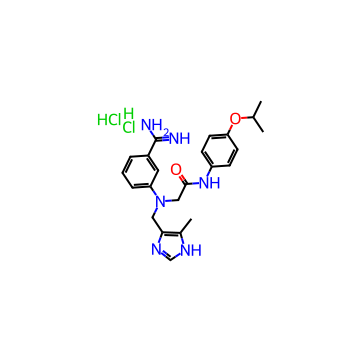 Cc1[nH]cnc1CN(CC(=O)Nc1ccc(OC(C)C)cc1)c1cccc(C(=N)N)c1.Cl.Cl